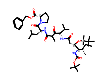 CC[C@H](C)[C@@H](NC(=O)OC(C)(C)C)[C@H](CC(=O)N[C@H](C(=O)C(C)C(=O)N[C@@H](CC(C)C)C(=O)N1CCC[C@H]1C(=O)OCc1ccccc1)C(C)C)O[Si](C)(C)C(C)(C)C